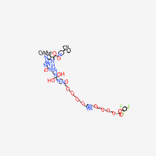 COc1cnc(-n2cnc(C(=O)NCCCNC(CO)(CO)CN3CCN(C(=O)CCOCCOCCOCCOCc4cn(CCOCCOCCOCCOCCC(=O)Oc5c(F)cc(F)cc5F)nn4)CC3)n2)c2[nH]cc(C(=O)C(=O)N3CCC(=C(C#N)c4ccccc4)CC3)c12